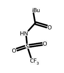 CCC(C)C(=O)NS(=O)(=O)C(F)(F)F